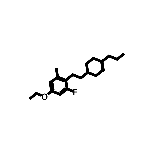 CCCC1CCC(CCc2c(C)cc(OCC)cc2F)CC1